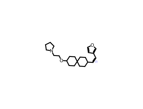 C(=C/C1CCC2(CC1)CCC(OCCN1CCCC1)CC2)/c1ccoc1